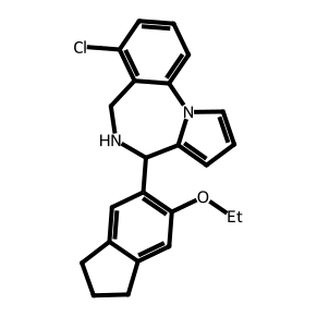 CCOc1cc2c(cc1C1NCc3c(Cl)cccc3-n3cccc31)CCC2